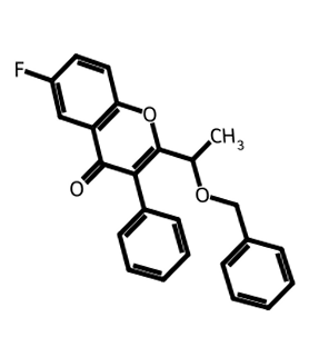 CC(OCc1ccccc1)c1oc2ccc(F)cc2c(=O)c1-c1ccccc1